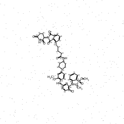 COc1cc(N2CCC(NC(=O)CCCSc3cccc4c3C(=O)N(C3CCC(=O)NC3=O)C4=O)CC2)ccc1Nc1ncc(Cl)c(Nc2ccccc2P(=O)(OC)OC)n1